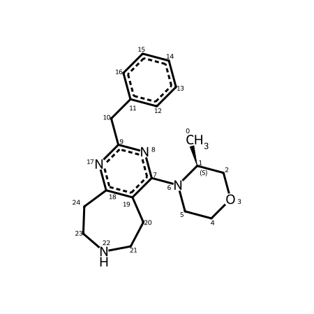 C[C@H]1COCCN1c1nc(Cc2ccccc2)nc2c1CCNCC2